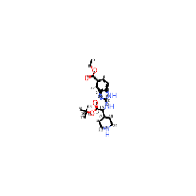 CCOC(=O)c1ccc2[nH]c(NC(C(=O)OC(C)(C)C)C3CCNCC3)nc2c1